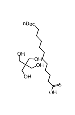 CCCCCCCCCCCCCCCCCCCCC(O)=S.OCC(CO)(CO)CO